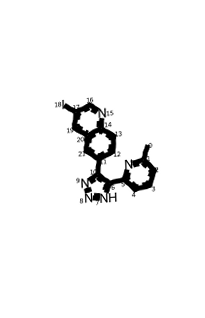 Cc1cccc(-c2[nH]nnc2-c2ccc3ncc(I)cc3c2)n1